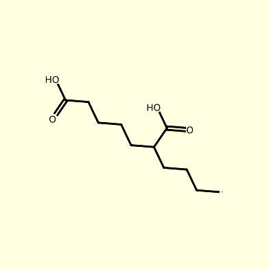 [CH2]CCCC(CCCCC(=O)O)C(=O)O